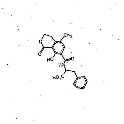 Cc1cc(C(=O)NC(Cc2ccccc2)C(=O)O)c(O)c2c1CCOC2=O